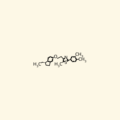 CC[C@@H]1CCc2cc(OCCc3nc(-c4ccc(C)c(C)c4)sc3C)ccc21